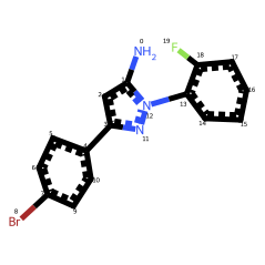 Nc1cc(-c2ccc(Br)cc2)nn1-c1ccccc1F